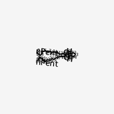 CCCCC/C=C\C/C=C\CCCCCCCCC1(CCCCCCCC/C=C\C/C=C\CCCCC)O[C@@H]2C3CCCC3[C@H]2O1